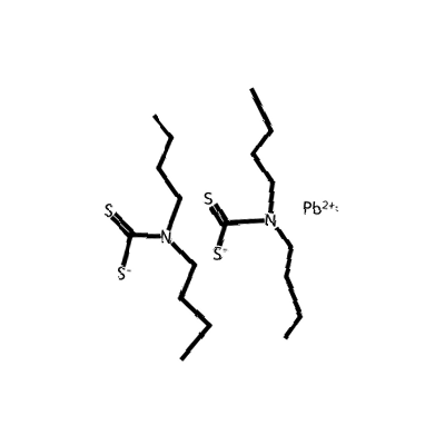 CCCCN(CCCC)C(=S)[S-].CCCCN(CCCC)C(=S)[S-].[Pb+2]